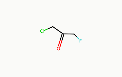 O=C(CF)CCl